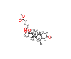 COC(=O)CCCC(=O)O[C@@]1(C(C)=O)CC[C@H]2[C@@H]3C=C(C)C4=CC(=O)CC[C@]4(C)[C@H]3CC[C@@]21C